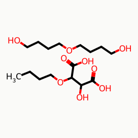 CCCCOC(C(=O)O)C(O)C(=O)O.OCCCCOCCCCO